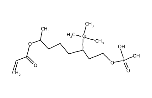 C=CC(=O)OC(C)CCCC(CCOP(=O)(O)O)[N+](C)(C)C